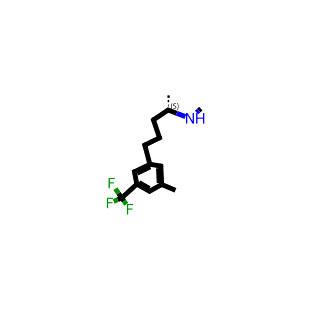 CN[C@@H](C)CCCc1cc(C)cc(C(F)(F)F)c1